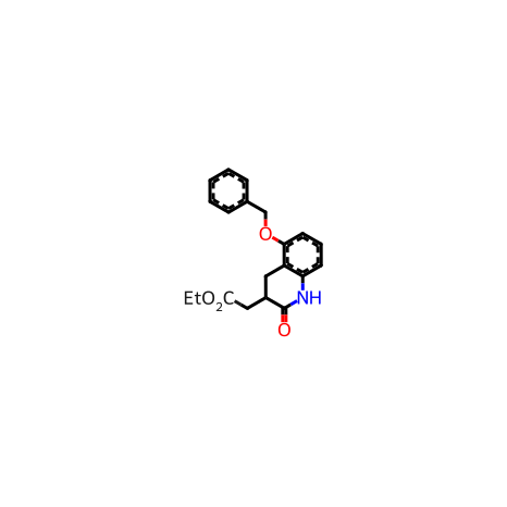 CCOC(=O)CC1Cc2c(cccc2OCc2ccccc2)NC1=O